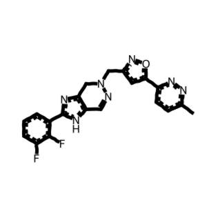 Cc1ccc(-c2cc(CN3Cc4nc(-c5cccc(F)c5F)[nH]c4C=N3)no2)nn1